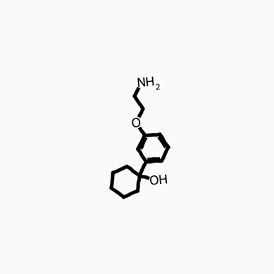 NCCOc1cccc(C2(O)CCCCC2)c1